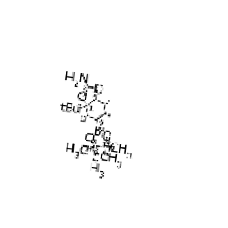 CC(C)(C)C1(OC(N)=O)CCC=C(B2OC(C)(C)C(C)(C)O2)C1